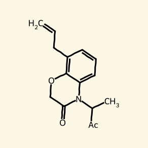 C=CCc1cccc2c1OCC(=O)N2C(C)C(C)=O